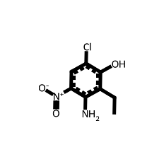 CCc1c(N)c([N+](=O)[O-])cc(Cl)c1O